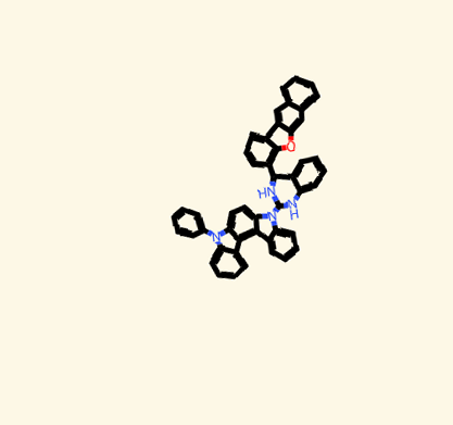 c1ccc(-n2c3ccccc3c3c4c5ccccc5n(C5Nc6ccccc6C(c6cccc7c6oc6cc8ccccc8cc67)N5)c4ccc32)cc1